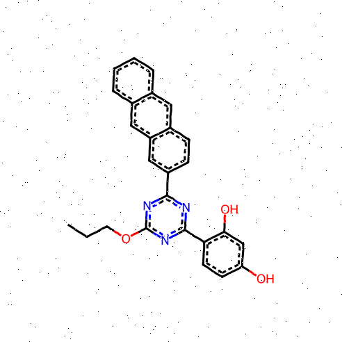 CCCOc1nc(-c2ccc3cc4ccccc4cc3c2)nc(-c2ccc(O)cc2O)n1